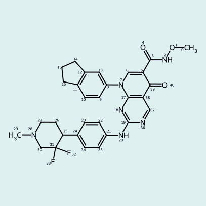 CONC(=O)c1cn(-c2ccc3c(c2)CCC3)c2nc(Nc3ccc(C4CCN(C)CC4(F)F)cc3)ncc2c1=O